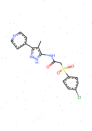 Cc1c(-c2ccncc2)n[nH]c1NC(=O)CS(=O)(=O)c1ccc(Cl)cc1